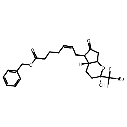 CCCCC(F)(F)[C@@]1(O)CC[C@H]2C(CC(=O)[C@@H]2C/C=C\CCCC(=O)OCc2ccccc2)O1